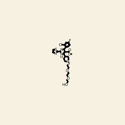 COC(=O)C1=C(C2CCN(SCCOCCOCCO)CC2)NC(c2nccs2)=NC1c1ccc(F)cc1Cl